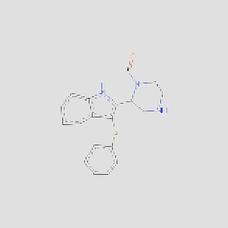 O=CN1CCNCC1c1[nH]c2ccccc2c1Sc1ccccc1